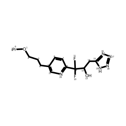 CC(C)OCCCc1ccc(C(F)(F)C(O)Cc2nnn[nH]2)nc1